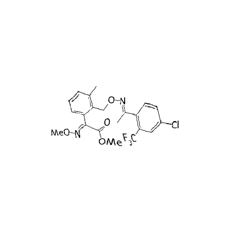 CO/N=C(/C(=O)OC)c1cccc(C)c1CO/N=C(\C)c1ccc(Cl)cc1C(F)(F)F